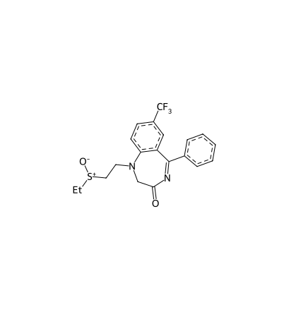 CC[S+]([O-])CCN1CC(=O)N=C(c2ccccc2)c2cc(C(F)(F)F)ccc21